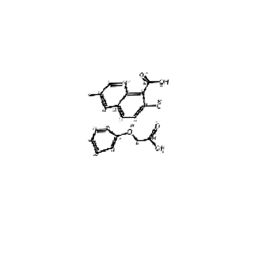 Cc1cnc2c(C(=O)O)c(Cl)ccc2c1.O=C(O)COc1ccccc1